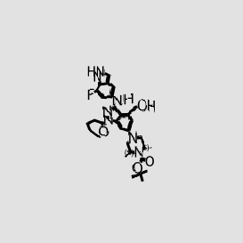 C[C@H]1CN(c2cc(CO)c3c(Nc4cc(F)c5n[nH]cc5c4)nn(C4CCCCO4)c3c2)C[C@H](C)N1C(=O)OC(C)(C)C